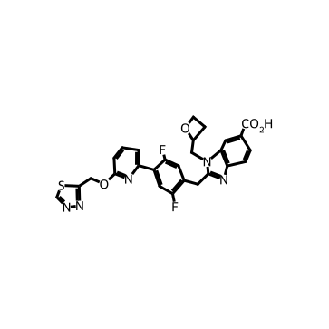 O=C(O)c1ccc2nc(Cc3cc(F)c(-c4cccc(OCc5nncs5)n4)cc3F)n(CC3CCO3)c2c1